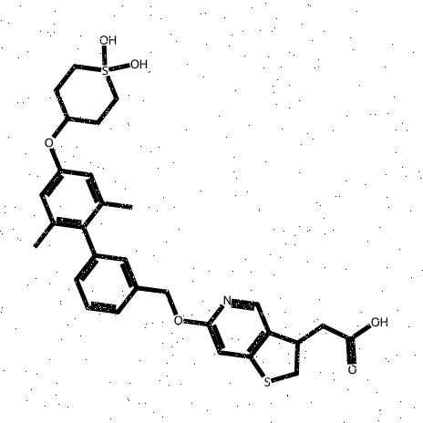 Cc1cc(OC2CCS(O)(O)CC2)cc(C)c1-c1cccc(COc2cc3c(cn2)C(CC(=O)O)CS3)c1